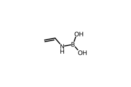 C=CNB(O)O